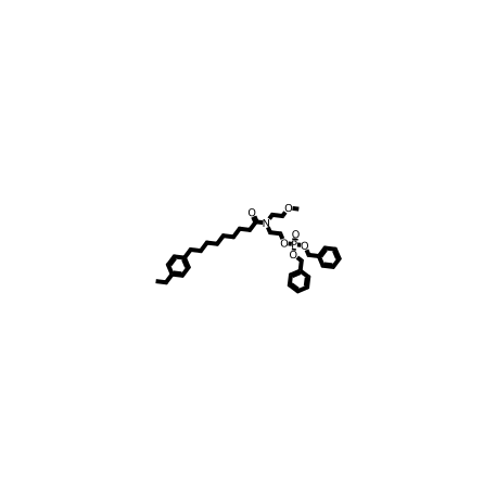 CCc1ccc(CCCCCCCCC(=O)N(CCOC)CCOP(=O)(OCc2ccccc2)OCc2ccccc2)cc1